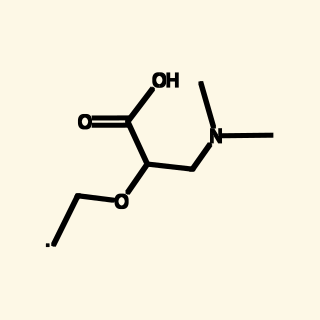 [CH2]COC(CN(C)C)C(=O)O